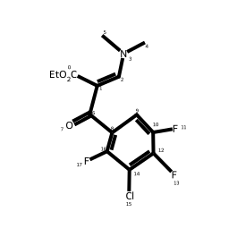 CCOC(=O)C(=CN(C)C)C(=O)c1cc(F)c(F)c(Cl)c1F